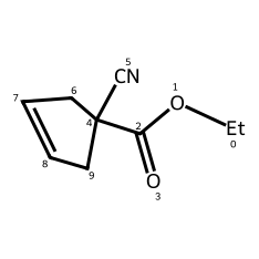 CCOC(=O)C1(C#N)CC=CC1